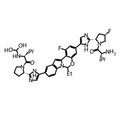 CCC1Oc2cc(-c3cnc([C@@H]4C[C@@H](F)CN4C(=O)[C@@H](N)C(C)C)[nH]3)cc(F)c2-c2cc3cc(-c4cnc([C@@H]5CCCN5C(=O)[C@@H](NC(O)O)C(C)C)[nH]4)ccc3n21